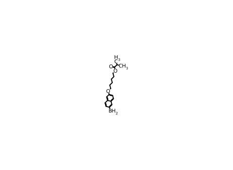 Bc1ccc2cc(OCCCCCCOC(=O)C(C)C)ccc2c1